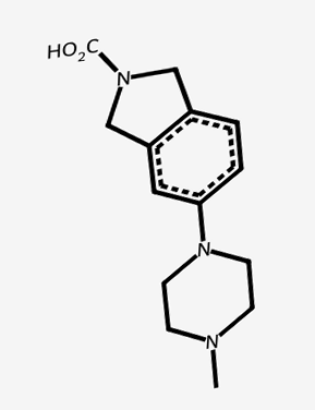 CN1CCN(c2ccc3c(c2)CN(C(=O)O)C3)CC1